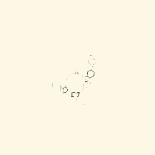 CCn1cc2cc(c1=O)-c1cnn(C)c1OCCC[C@@H](C)Cn1c(nc3ccc(N4CCN(C)CC4)cc31)NC2=O